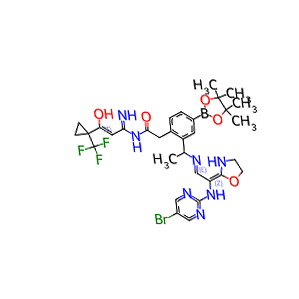 CC(/N=C/C(Nc1ncc(Br)cn1)=C1\NCCO1)c1cc(B2OC(C)(C)C(C)(C)O2)ccc1CC(=O)NC(=N)/C=C(\O)C1(C(F)(F)F)CC1